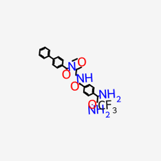 NOC([C@H](N)c1ccc(C(=O)NCC2COCCN2C(=O)c2ccc(-c3ccccc3)cc2)cc1)C(F)(F)F